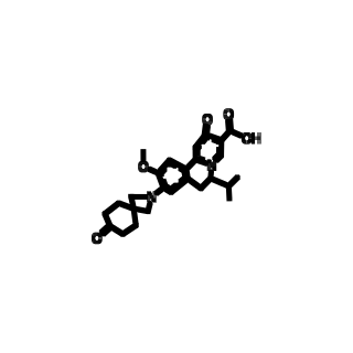 COc1cc2c(cc1N1CC3(CCC(=O)CC3)C1)CC(C(C)C)n1cc(C(=O)O)c(=O)cc1-2